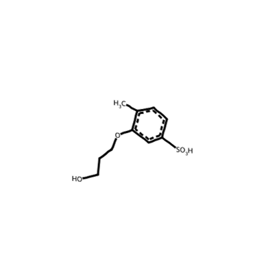 Cc1ccc(S(=O)(=O)O)cc1OCCCO